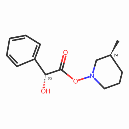 C[C@H]1CCCN(OC(=O)[C@H](O)c2ccccc2)C1